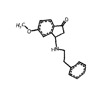 COc1ccc2c(c1)C(NCCc1ccccc1)CC2=O